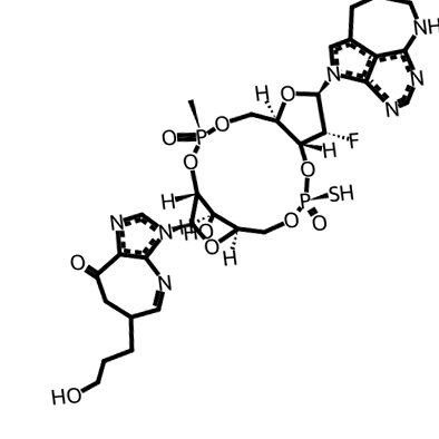 C[P@@]1(=O)OC[C@H]2O[C@@H](n3cc4c5c(ncnc53)NCCC4)[C@H](F)[C@@H]2O[P@@](=O)(S)OC[C@H]2O[C@@H](n3cnc4c3N=CC(CCCO)CC4=O)[C@H](O1)[C@@H]2O